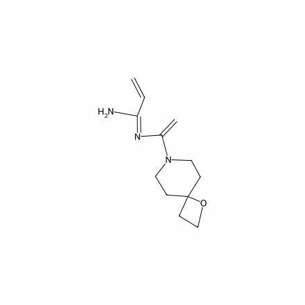 C=C/C(N)=N\C(=C)N1CCC2(CCO2)CC1